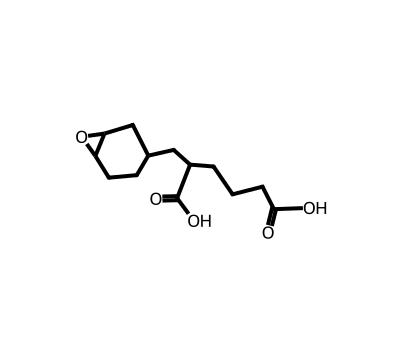 O=C(O)CCCC(CC1CCC2OC2C1)C(=O)O